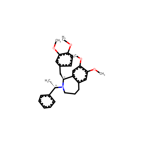 COc1ccc(C[C@H]2c3cc(OC)c(OC)cc3CCCN2[C@@H](C)c2ccccc2)cc1OC